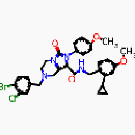 COc1ccc(-n2c(C(=O)NCc3ccc(OC)cc3C3CC3)c3n(c2=O)CCN(Cc2ccc(Br)c(Cl)c2)C3)cc1